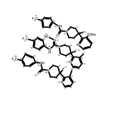 COc1cccnc1C1(F)CCN(C(=O)Nc2ccc(C(F)(F)F)cc2)CC1.Cc1cccnc1C1(F)CCN(/C(=N/C#N)Nc2ccc(C(F)(F)F)cc2)CC1.Cc1cccnc1C1(F)CCN(C(=S)Nc2ccc(C(F)(F)F)cc2)CC1